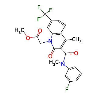 COC(=O)Cn1c(=O)c(C(=O)N(C)c2cccc(F)c2)c(C)c2ccc(C(F)(F)F)cc21